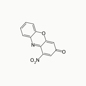 O=c1cc2oc3ccccc3nc-2c([N+](=O)[O-])c1